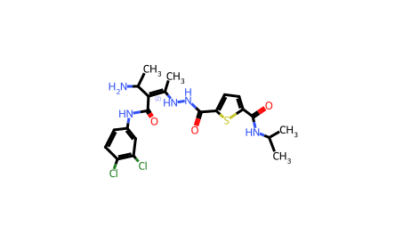 C/C(NNC(=O)c1ccc(C(=O)NC(C)C)s1)=C(/C(=O)Nc1ccc(Cl)c(Cl)c1)C(C)N